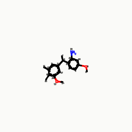 COc1ccc(C(C)c2cc(C)c(C)c(OC)c2)c(N)c1